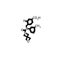 Cc1cccc(N(Cc2ccc(C(=O)O)cc2F)C(=O)N2CC3(COC3)C2)c1